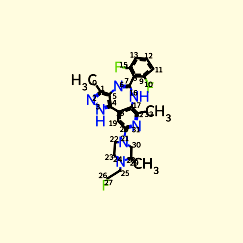 Cc1n[nH]c2c1N=C(c1c(F)cccc1F)Nc1c-2cc(N2CCN(CCF)C(C)C2)nc1C